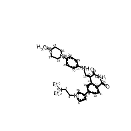 CCN(CC)CCn1ccc(-c2ccc3c(c2)C(=CNc2ccc(N4CCN(C)CC4)cc2)C(=O)NC3=O)c1